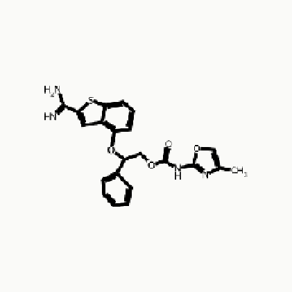 Cc1coc(NC(=O)OCC(Oc2cccc3sc(C(=N)N)cc23)c2ccccc2)n1